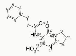 O=C(CCc1ccccc1)Nc1c(C(=O)O)nc2n(c1=O)CCC2